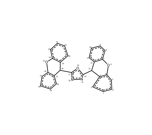 c1ccc2c(c1)Oc1ccccc1C2c1nnc(C2c3ccccc3Oc3ccccc32)o1